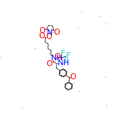 O=C(CCCCCNC(=O)[C@H](Cc1ccc(C(=O)c2ccccc2)cc1)NC(=O)C(F)(F)F)ON1C(=O)CCC1=O